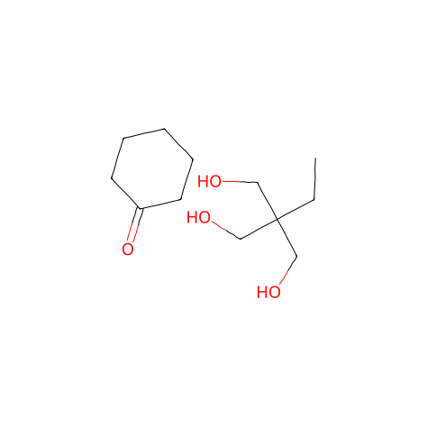 CCC(CO)(CO)CO.O=C1CCCCC1